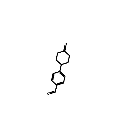 O=Cc1ccc(C2CCC(=O)CC2)cc1